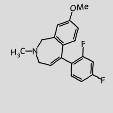 COc1ccc2c(c1)CN(C)CC=C2c1ccc(F)cc1F